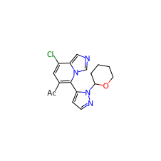 CC(=O)c1cc(Cl)c2cncn2c1-c1ccnn1C1CCCCO1